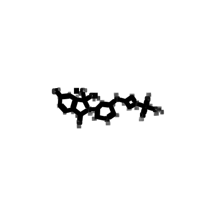 CC1(C)c2cc(Cl)ccc2C(=O)N1c1cncc(OC2CN(S(C)(=O)=O)C2)c1